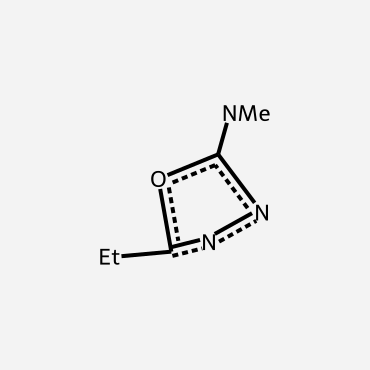 CCc1nnc(NC)o1